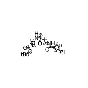 CC(C)(C)OC(=O)N1CC(NS(=O)(=O)CCNC(=O)c2ccc(Cl)s2)C1